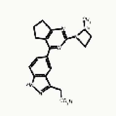 C[C@H]1CCN1c1nc2c(c(-c3ccc4[nH]nc(CC(=O)O)c4c3)n1)CCC2